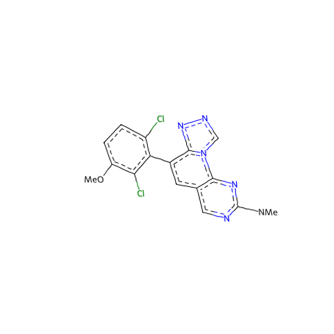 CNc1ncc2cc(-c3c(Cl)ccc(OC)c3Cl)c3nncn3c2n1